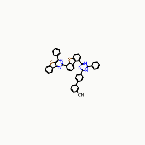 N#Cc1cccc(-c2ccc(-c3nc(-c4ccccc4)nc(-c4cccc5c4C4=CC=CC(c6nc(-c7ccccc7)c7sc8ccccc8c7n6)C4S5)n3)cc2)c1